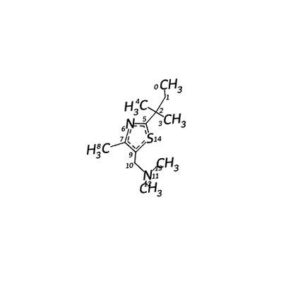 CCC(C)(C)c1nc(C)c(CN(C)C)s1